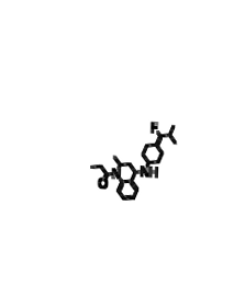 CCC(=O)N1c2ccccc2C(NC2CCC(=C(F)C(C)C)CC2)CC1C